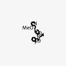 COc1cccnc1CCN1CCC2(CC1)CN(C(=O)c1ccccc1F)CC1(CC1)O2